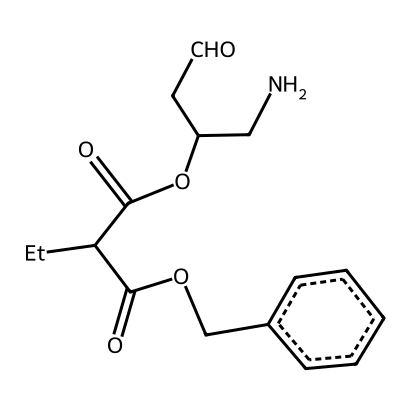 CCC(C(=O)OCc1ccccc1)C(=O)OC(CN)CC=O